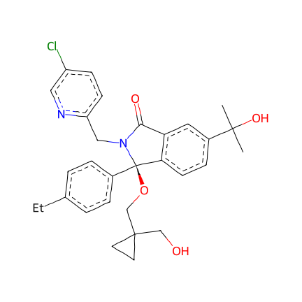 CCc1ccc([C@@]2(OCC3(CO)CC3)c3ccc(C(C)(C)O)cc3C(=O)N2Cc2ccc(Cl)cn2)cc1